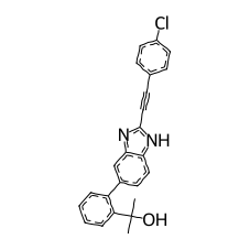 CC(C)(O)c1ccccc1-c1ccc2[nH]c(C#Cc3ccc(Cl)cc3)nc2c1